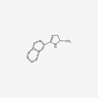 CC1CC=C(c2ccc3ccccc3c2)N1